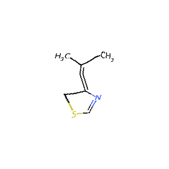 CC(C)=C1CSC=N1